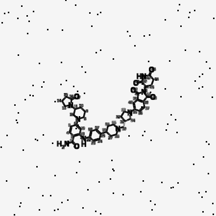 NC(=O)c1ccc(N2CCCC(N3CCCC3=O)C2)cc1Nc1ccc(C2CCN(C[C@@H]3CCN(c4ccc5c(c4)C(=O)N(C4CCC(=O)NC4=O)C5=O)C3)CC2)cc1